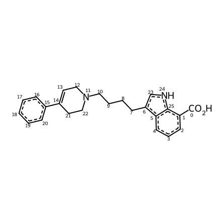 O=C(O)c1cccc2c(CCCCN3CC=C(c4ccccc4)CC3)c[nH]c12